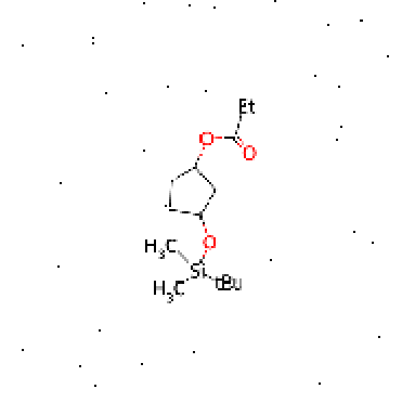 CCC(=O)OC1CCC(O[Si](C)(C)C(C)(C)C)C1